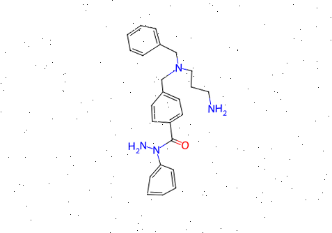 NCCCN(Cc1ccccc1)Cc1ccc(C(=O)N(N)c2ccccc2)cc1